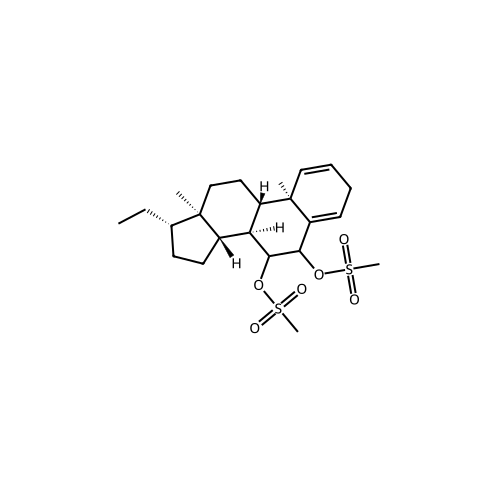 CC[C@H]1CC[C@H]2[C@@H]3C(OS(C)(=O)=O)C(OS(C)(=O)=O)C4=CCC=C[C@]4(C)[C@H]3CC[C@]12C